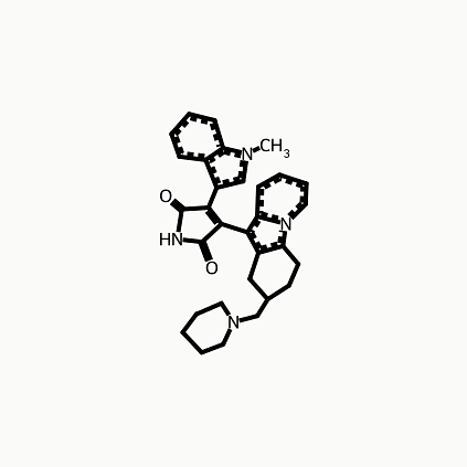 Cn1cc(C2=C(c3c4c(n5ccccc35)CCC(CN3CCCCC3)C4)C(=O)NC2=O)c2ccccc21